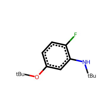 CC(C)(C)Nc1cc(OC(C)(C)C)ccc1F